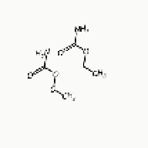 CCOC(N)=O.COOC(N)=O